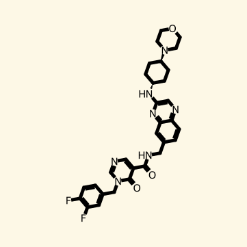 O=C(NCc1ccc2ncc(N[C@H]3CC[C@H](N4CCOCC4)CC3)nc2c1)c1cncn(Cc2ccc(F)c(F)c2)c1=O